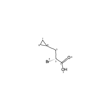 O=C(O)[C@H](Br)CC1CC1